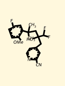 COc1ccc(F)cc1C(C)(C)CC(O)(Cc1ccnc(C#N)c1)C(F)F